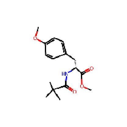 COC(=O)[C@@H](Cc1ccc(OC)cc1)NC(=O)C(C)(C)C